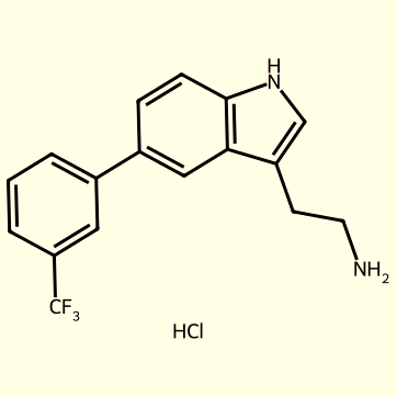 Cl.NCCc1c[nH]c2ccc(-c3cccc(C(F)(F)F)c3)cc12